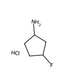 Cl.NC1CCC(F)C1